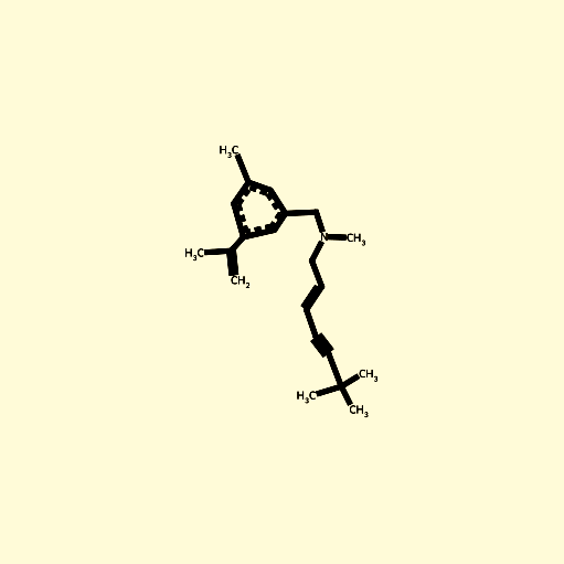 C=C(C)c1cc(C)cc(CN(C)CC=CC#CC(C)(C)C)c1